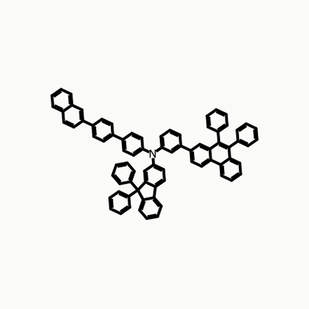 c1ccc(-c2c(-c3ccccc3)c3cc(-c4cccc(N(c5ccc(-c6ccc(-c7ccc8ccccc8c7)cc6)cc5)c5ccc6c(c5)C(c5ccccc5)(c5ccccc5)c5ccccc5-6)c4)ccc3c3ccccc23)cc1